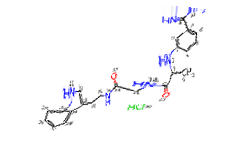 CC(Nc1cccc(C(=N)N)c1)C(=O)NCC(=O)NCCc1c[nH]c2ccccc12.Cl